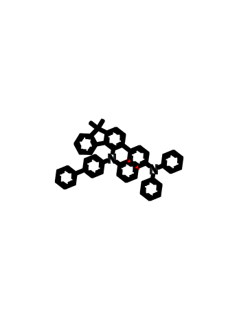 CC1(C)c2ccccc2-c2c1ccc(-c1ccc(N(c3ccccc3)c3ccccc3)cc1)c2N(c1ccccc1)c1ccc(-c2ccccc2)cc1